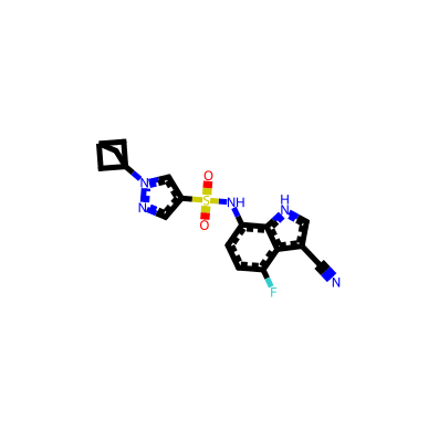 N#Cc1c[nH]c2c(NS(=O)(=O)c3cnn(C45CC(C4)C5)c3)ccc(F)c12